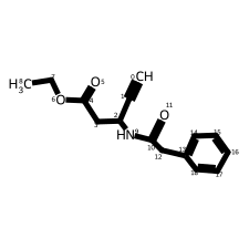 C#CC(CC(=O)OCC)NC(=O)Cc1ccccc1